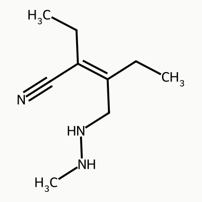 CC/C(C#N)=C(\CC)CNNC